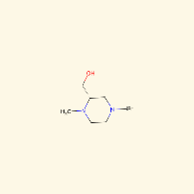 CC(C)N1CCN(C)[C@H](CO)C1